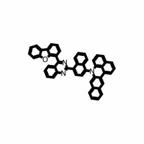 c1ccc2cc3c(cc2c1)-c1cccc2cccc(c12)N3c1ccc(-c2nc(-c3cccc4c3oc3ccccc34)c3ccccc3n2)c2ccccc12